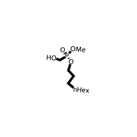 CCCCCCCCCOP(=O)(CO)OC